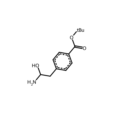 CC(C)(C)OC(=O)c1ccc(CC(N)O)cc1